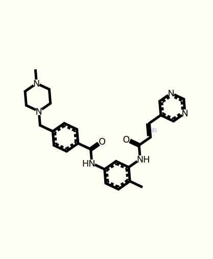 Cc1ccc(NC(=O)c2ccc(CN3CCN(C)CC3)cc2)cc1NC(=O)/C=C/c1cncnc1